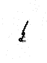 CCCCCCCCCCCc1ccc(C(=S)C=Cc2ccccc2O)cc1